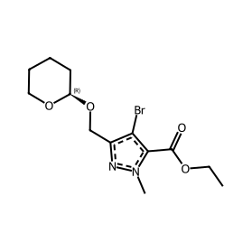 CCOC(=O)c1c(Br)c(CO[C@@H]2CCCCO2)nn1C